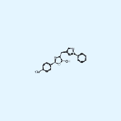 CC(C)(C)c1ccc(C2=NC(Cc3cnn(-c4ccccc4)c3)C(O)O2)cc1